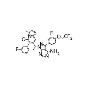 Cc1csc2cc([C@H](C)n3nc(-c4ccc(OCC(F)(F)F)c(F)c4)c4c(N)ncnc43)c(-c3cccc(F)c3)c(=O)n12